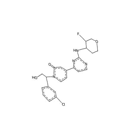 O=c1cc(-c2ccnc(NC3CCOCC3F)n2)ccn1C(CO)c1cccc(Cl)c1